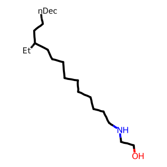 CCCCCCCCCCCCC(CC)CCCCCCCCCCNCCO